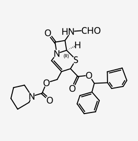 O=CNC1C(=O)N2C=C(COC(=O)N3CCCCC3)C(C(=O)OC(c3ccccc3)c3ccccc3)S[C@H]12